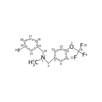 CN(Cc1ccc(OC(F)(F)F)cc1)Cc1cccc(I)c1